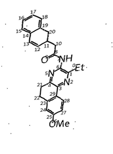 CCc1nc2c(nc1NC(=O)CC1C=Cc3ccccc3C1)CCc1cc(OC)ccc1-2